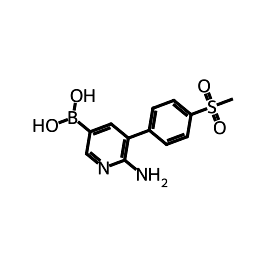 CS(=O)(=O)c1ccc(-c2cc(B(O)O)cnc2N)cc1